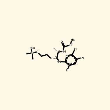 C[C@H](NC(=O)OC(C)(C)C)[C@@H](CCCO[Si](C)(C)C(C)(C)C)Nc1nc(Cl)c(C#N)cc1F